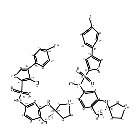 C[C@@]1(Oc2cc(N(Cl)S(=O)(=O)c3cc(-c4ccc(Cl)cc4)cs3)ccc2Cl)CCNC1.C[C@@]1(Oc2cc(NS(=O)(=O)c3scc(-c4ccc(F)cc4)c3Cl)ccc2Cl)CCNC1